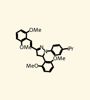 COc1cccc(OC)c1C=CC1=NN(c2ccc(C(C)C)cc2)C(c2c(OC)cccc2OC)C1